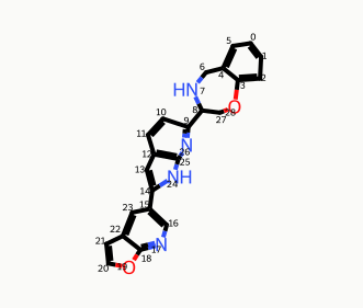 c1ccc2c(c1)CNC(c1ccc3cc(-c4cnc5occc5c4)[nH]c3n1)CO2